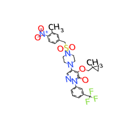 Cc1cc(CS(=O)(=O)N2CCN(c3cnn(-c4cccc(C(F)(F)F)c4)c(=O)c3OCC3(C)CC3)CC2)ccc1[N+](=O)[O-]